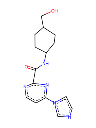 O=C(NC1CCC(CO)CC1)c1nccc(-n2ccnc2)n1